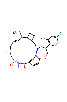 CCCc1cc(Cl)ccc1C1COc2ccc3cc2N(C1)CC1CCC1C(OC)/C=C/C[C@@H](C)C[S+]([O-])NC3=O